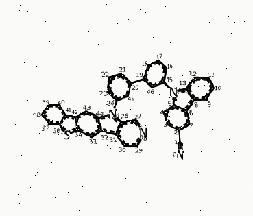 N#Cc1ccc2c(c1)c1ccccc1n2-c1cccc(-c2cccc(-n3c4cnccc4c4cc5sc6ccccc6c5cc43)c2)c1